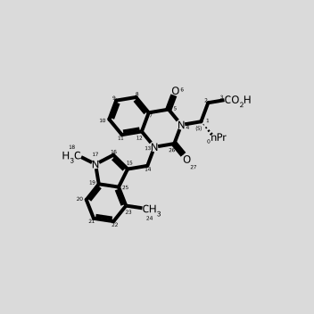 CCC[C@@H](CC(=O)O)n1c(=O)c2ccccc2n(Cc2cn(C)c3cccc(C)c23)c1=O